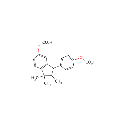 CC1C(c2ccc(OC(=O)O)cc2)c2cc(OC(=O)O)ccc2C1(C)C